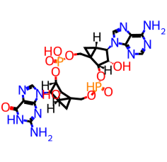 Nc1nc2c(ncn2[C@H]2[C@@H]3OP(=O)(O)OCC45C[C@@H]4[C@@H](n4cnc6c(N)ncnc64)[C@H](O)[C@@H]5O[PH](=O)OCC4(C[C@H]24)[C@H]3O)c(=O)[nH]1